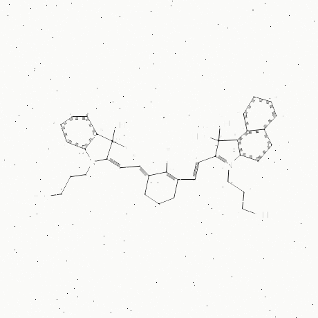 CCCCN1/C(=C/C=C2\CCCC(/C=C/C3=[N+](CCCC)c4ccc5ccccc5c4C3(C)C)=C2Cl)C(C)(C)c2ccccc21